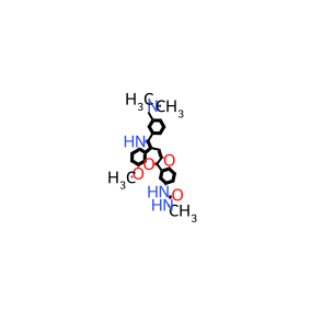 CNC(=O)Nc1ccc2c(c1)C(=O)C(=Cc1c(-c3cccc(CN(C)C)c3)[nH]c3ccc(OC)cc13)O2